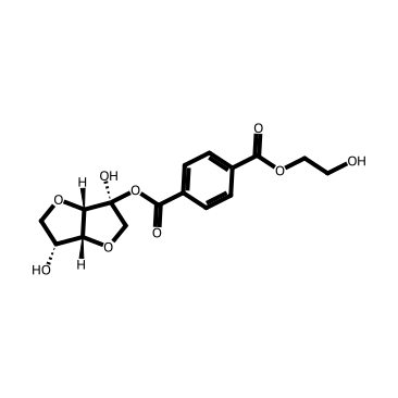 O=C(OCCO)c1ccc(C(=O)O[C@@]2(O)CO[C@@H]3[C@H](O)CO[C@@H]32)cc1